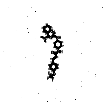 CN(C)c1nc(N[C@H]2CC[C@@H](NC(=O)/C=C/c3ccc(OC(F)(F)F)cc3)CC2)nc2ccccc12